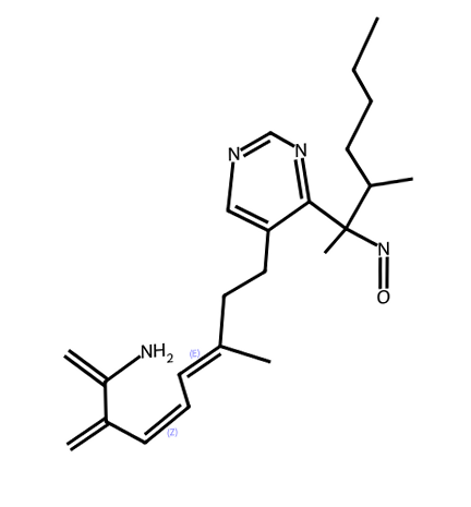 C=C(N)C(=C)/C=C\C=C(/C)CCc1cncnc1C(C)(N=O)C(C)CCCC